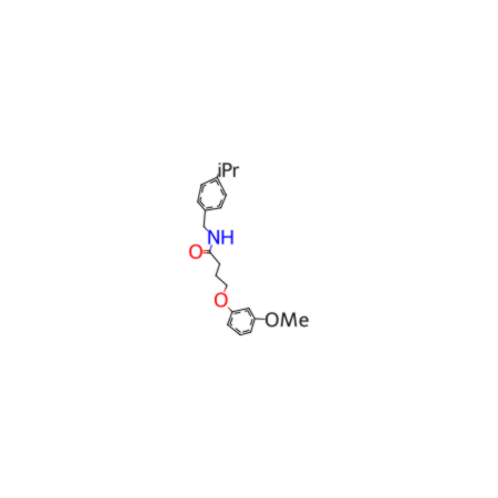 COc1cccc(OCCCC(=O)NCc2ccc(C(C)C)cc2)c1